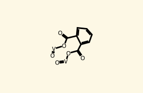 [O]=[V][O]C(=O)c1ccccc1C(=O)[O][V]=[O]